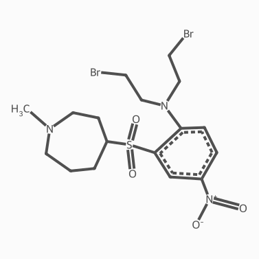 CN1CCCC(S(=O)(=O)c2cc([N+](=O)[O-])ccc2N(CCBr)CCBr)CC1